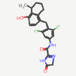 CC1CCCc2c(Cc3c(Cl)cc(NC(=O)C4=NCC(=O)N4)cc3Cl)ccc(O)c21